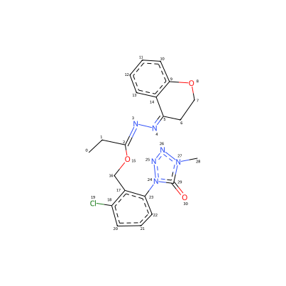 CC/C(=N/N=C1/CCOc2ccccc21)OCc1c(Cl)cccc1-n1nnn(C)c1=O